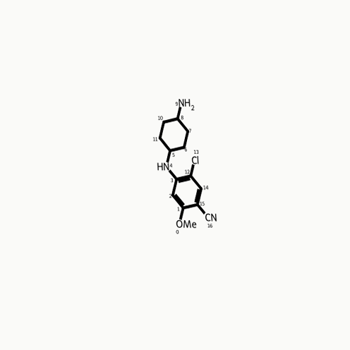 COc1cc(NC2CCC(N)CC2)c(Cl)cc1C#N